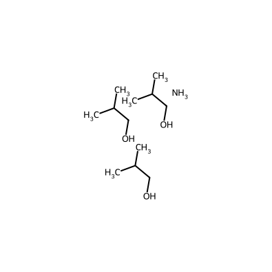 CC(C)CO.CC(C)CO.CC(C)CO.N